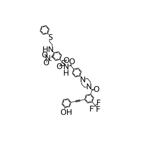 O=C(NS(=O)(=O)c1ccc(NCCSc2ccccc2)c([N+](=O)[O-])c1)c1ccc(N2CCN(C(=O)c3cc(C#Cc4cccc(O)c4)cc(C(F)(F)F)c3)CC2)cc1